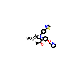 CC(C)(Cc1c(C(=O)C2CC2)c2cc(OCc3ccccn3)ccc2n1Cc1ccc(-c2nccs2)cc1)C(=O)O